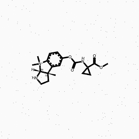 COC(=O)C1(NC(=O)Oc2ccc3c(c2)[C@]2(C)CCN[C@@H]2[N+]3(C)C)CC1